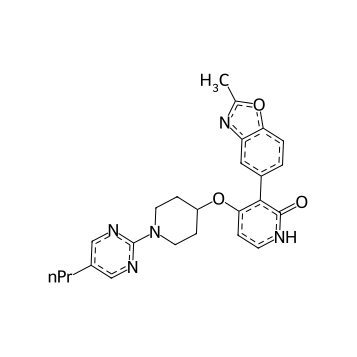 CCCc1cnc(N2CCC(Oc3cc[nH]c(=O)c3-c3ccc4oc(C)nc4c3)CC2)nc1